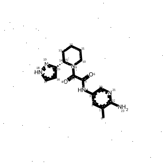 Cc1cc(NC(=O)C(=O)N2CCCC[C@H]2c2cc[nH]n2)cnc1N